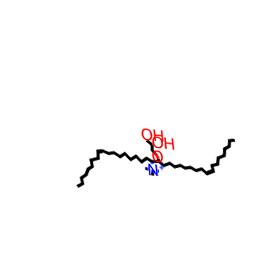 CCCCCCCC/C=C\CCCCCCCCC(OCC(O)CO)C(CCCCCCCC/C=C\CCCCCCCC)[N+](C)(C)C